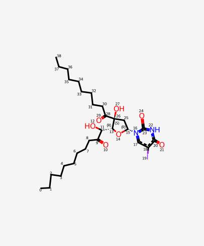 CCCCCCCCCC(=O)C(O)[C@H]1O[C@@H](n2cc(I)c(=O)[nH]c2=O)C[C@@]1(O)C(=O)CCCCCCCCC